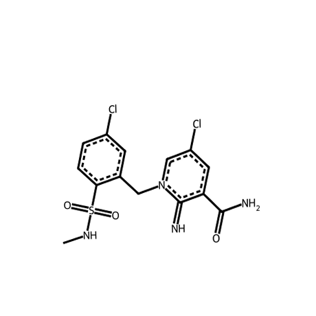 CNS(=O)(=O)c1ccc(Cl)cc1Cn1cc(Cl)cc(C(N)=O)c1=N